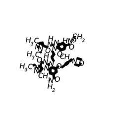 CCn1nc(C)cc1C(=O)Nc1nc2cc(C(=O)NOC)cc(OC)c2n1C/C=C/Cn1c(NC(=O)c2cc(C)nn2CC)nc2cc(C(N)=O)cc(OCC#CCN3CCOCC3)c21